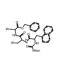 CCCCCCCCCC(=O)NC(Cc1cccc2ccccc12)C(=O)NC(CC(C)C)C(=O)NC(C(=O)OCc1ccccc1)C(C)C